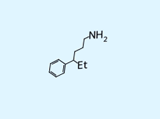 CCC(CCCN)c1ccccc1